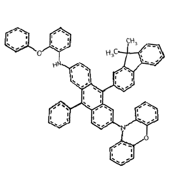 CC1(C)c2ccccc2-c2ccc(-c3c4ccc(Nc5ccccc5Oc5ccccc5)cc4c(-c4ccccc4)c4ccc(N5c6ccccc6Oc6ccccc65)cc34)cc21